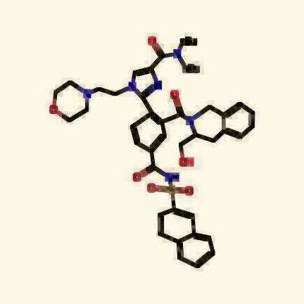 CCCCN(CCCC)C(=O)c1cn(CCN2CCOCC2)c(-c2ccc(C(=O)NS(=O)(=O)c3ccc4ccccc4c3)cc2C(=O)N2Cc3ccccc3CC2CO)n1